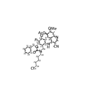 COc1cc2ncc(C#N)c(Nc3cc(Cl)c(F)cc3CN(CCCCCCl)C(=O)OCc3ccccc3)c2cc1OC(C)=O